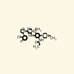 C=CC(=O)Nc1cc(Nc2cc(N3OCC[C@@H]3c3cccc(F)c3Cl)ncn2)c(OC)cc1N1CCN(CC)CC1